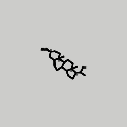 CO[C@H]1CC[C@@]2(C)C(=CCC3C2CC[C@@]2(C)C3CC[C@@H]2C(C)O)C1